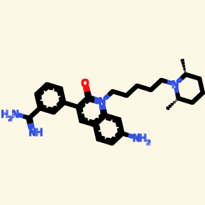 C[C@@H]1CCC[C@H](C)N1CCCCCn1c(=O)c(-c2cccc(C(=N)N)c2)cc2ccc(N)cc21